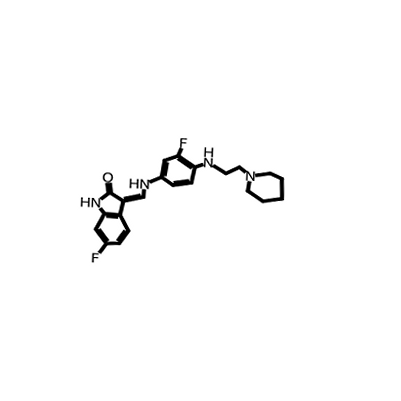 O=C1Nc2cc(F)ccc2C1=CNc1ccc(NCCN2CCCCC2)c(F)c1